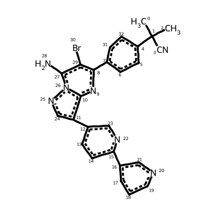 CC(C)(C#N)c1ccc(-c2nc3c(-c4ccc(-c5cccnc5)nc4)cnn3c(N)c2Br)cc1